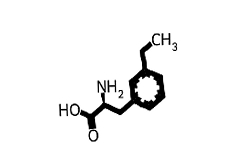 CCc1cccc(C[C@H](N)C(=O)O)c1